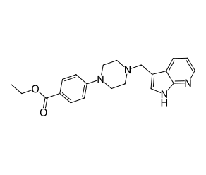 CCOC(=O)c1ccc(N2CCN(Cc3c[nH]c4ncccc34)CC2)cc1